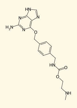 CNCCOC(=O)NCc1ccc(COc2nc(N)nc3[nH]cnc23)cc1